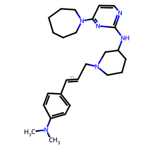 CN(C)c1ccc(/C=C/CN2CCCC(Nc3nccc(N4CCCCCC4)n3)C2)cc1